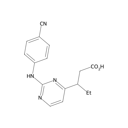 CCC(CC(=O)O)c1ccnc(Nc2ccc(C#N)cc2)n1